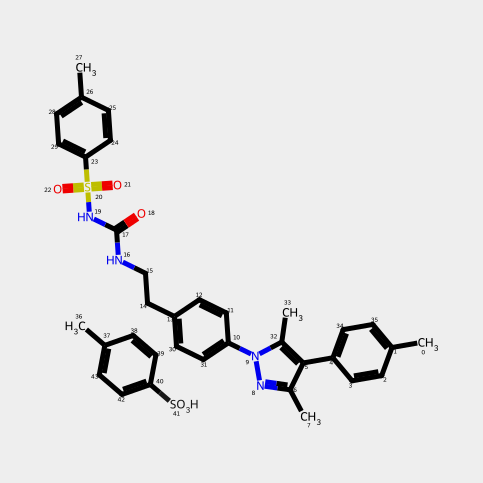 Cc1ccc(-c2c(C)nn(-c3ccc(CCNC(=O)NS(=O)(=O)c4ccc(C)cc4)cc3)c2C)cc1.Cc1ccc(S(=O)(=O)O)cc1